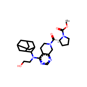 CC(C)(C)OC(=O)N1CCC[C@@H]1C(=O)N1CCc2c(ncnc2N(CCO)C2C3CC4CC(C3)CC2C4)C1